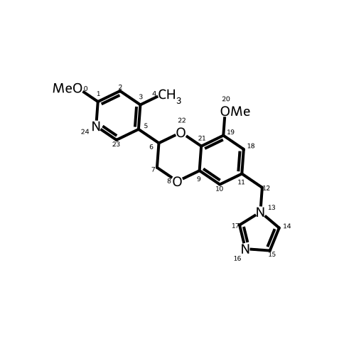 COc1cc(C)c(C2COc3cc(Cn4ccnc4)cc(OC)c3O2)cn1